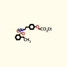 C=Cc1ccccc1S(=O)(=O)NCCc1ccc(OCC(=O)OCC)cc1